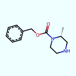 C[C@@H]1CNCCN1C(=O)OCc1ccccc1